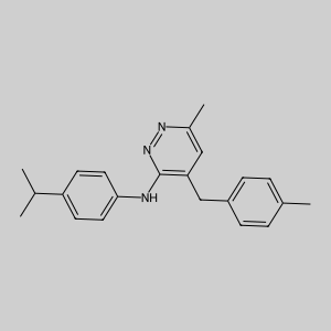 Cc1ccc(Cc2cc(C)nnc2Nc2ccc(C(C)C)cc2)cc1